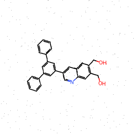 OCc1cc2cc(-c3cc(-c4ccccc4)cc(-c4ccccc4)c3)cnc2cc1CO